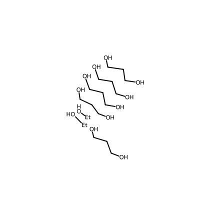 CCO.CCO.OCCCO.OCCCO.OCCCO.OCCCO.OCCCO